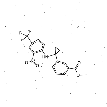 COC(=O)c1cccc(C2(Nc3ccc(C(F)(F)F)cc3[N+](=O)[O-])CC2)c1